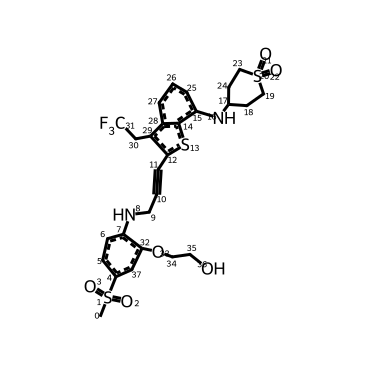 CS(=O)(=O)c1ccc(NCC#Cc2sc3c(NC4CCS(=O)(=O)CC4)cccc3c2CC(F)(F)F)c(OCCO)c1